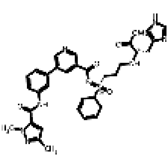 COC(=O)[C@H](Cc1c[nH]cn1)NCCC[S@@](=O)(=NC(=O)c1cncc(-c2cccc(NC(=O)c3cc(C)nn3C)c2)c1)C1C=CC=CC1